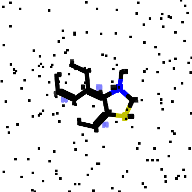 C\C=C/C(CC)=C1\C(=C/C)SCN1C